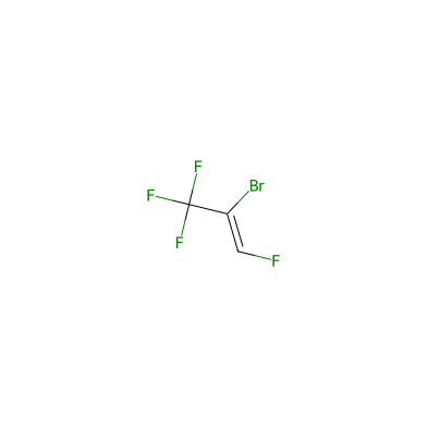 F/C=C(\Br)C(F)(F)F